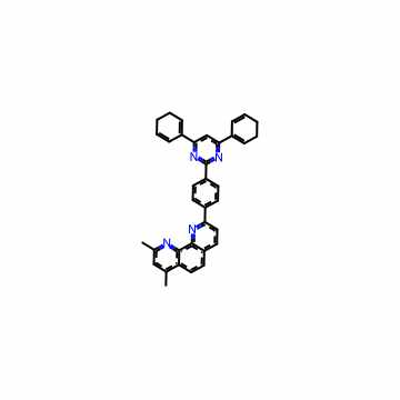 Cc1cc(C)c2ccc3ccc(-c4ccc(-c5nc(C6=CCCC=C6)cc(C6=CCCC=C6)n5)cc4)nc3c2n1